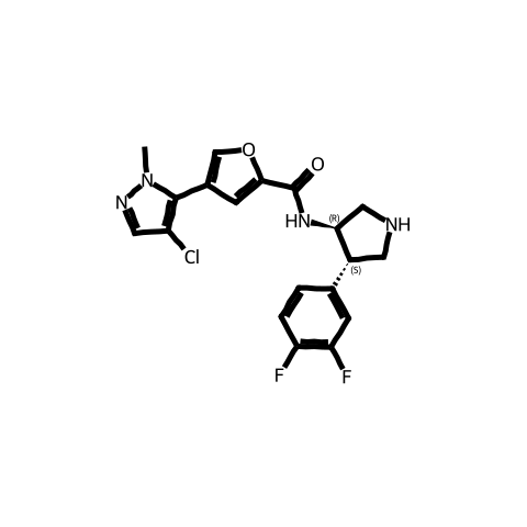 Cn1ncc(Cl)c1-c1coc(C(=O)N[C@H]2CNC[C@@H]2c2ccc(F)c(F)c2)c1